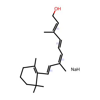 CC1=C(/C=C/C(C)=C\C=C\C(C)=C\CO)C(C)(C)CCC1.[NaH]